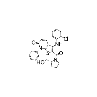 O=C(c1sc2c(ccc(=O)n2-c2ccccc2)c1Nc1ccccc1Cl)N1CCC[C@@H]1CO